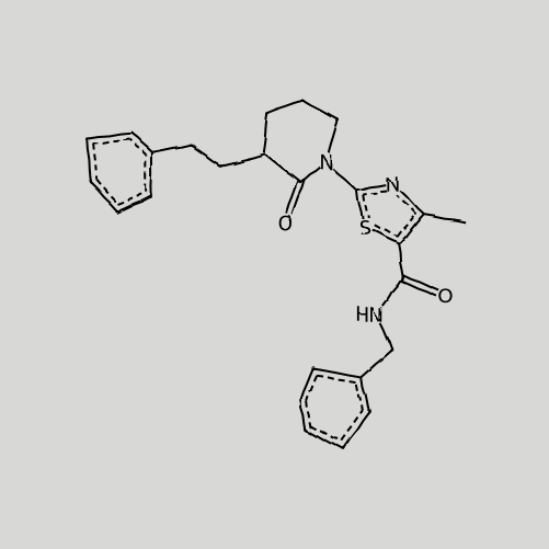 Cc1nc(N2CCCC(CCc3ccccc3)C2=O)sc1C(=O)NCc1ccccc1